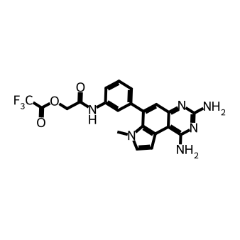 Cn1ccc2c3c(N)nc(N)nc3cc(-c3cccc(NC(=O)COC(=O)C(F)(F)F)c3)c21